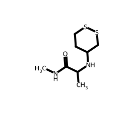 CNC(=O)C(C)NC1CCSSC1